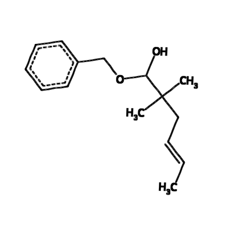 C/C=C/CC(C)(C)C(O)OCc1ccccc1